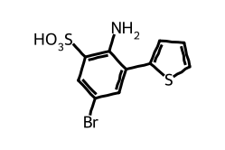 Nc1c(-c2cccs2)cc(Br)cc1S(=O)(=O)O